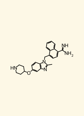 Cc1nc2cc(OC3CCNCC3)ccc2n1Cc1ccc(C(=N)N)c2ccccc12